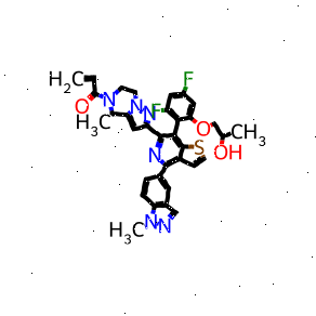 C=CC(=O)N1CCn2nc(-c3nc(-c4ccc5c(cnn5C)c4)c4ccsc4c3-c3c(F)cc(F)cc3OCC(C)O)cc2C1C